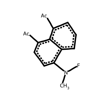 CC(=O)c1cccc2c(N(C)F)ccc(C(C)=O)c12